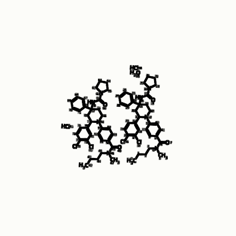 CCCCN(C)C(=O)c1ccc(N2CCC(NC(=O)N3CCCC3)(c3ccccc3)CC2c2ccc(Cl)c(Cl)c2)cc1.CCCCN(C)C(=O)c1ccc(N2CCC(NC(=O)N3CCCC3)(c3ccccc3)CC2c2ccc(Cl)c(Cl)c2)cc1.Cl.Cl.O